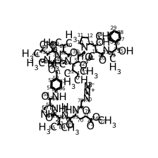 CC[C@H](C)[C@@H]([C@@H](CC(=O)N1CCC[C@H]1[C@H](OC)[C@@H](C)C(=O)N[C@H](C)[C@@H](O)c1ccccc1)OC)N(C)C(=O)[C@@H](NC(=O)[C@H](C(C)C)N(C)C(=O)OCc1ccc(NC(=O)[C@H](CN)NC(=O)[C@@H](NC(=O)[C@H](CCC(=O)OC)NC(=O)CN=[N+]=[N-])C(C)C)cc1)C(C)C